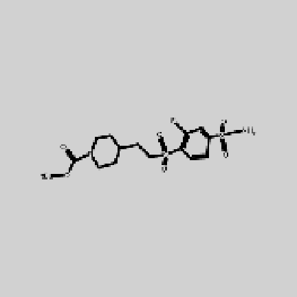 CC(C)(C)OC(=O)N1CCC(CCS(=O)(=O)c2ccc(S(N)(=O)=O)cc2F)CC1